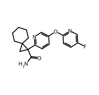 NC(=O)C1(c2ccc(Oc3ccc(F)cn3)cn2)CC12CCCCC2